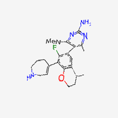 CNc1nc(N)nc(C)c1-c1cc2c(c(C3=CCNCCC3)c1F)OCCC2C